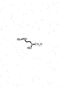 CC(C)(C)NCCN(C(=O)O)C(C)(C)C